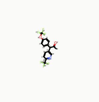 CC(=O)C(c1ccc(OC(F)(F)F)cc1)c1ccc(C(F)(F)F)nc1